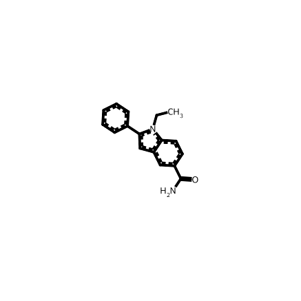 CCn1c(-c2ccccc2)cc2cc(C(N)=O)ccc21